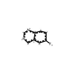 Fc1ccc2n[c]ncc2c1